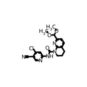 COC(OC)c1ccc2c(n1)N(C(=O)Nc1cc(Cl)c(C#N)cn1)CCC2